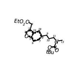 CCOC(=O)Cc1coc2ccc(CCCN(C)C(=O)OC(C)(C)C)cc12